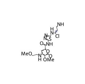 COCCNc1cc(C(=O)Nc2nnc(N/C(Cl)=C\C=N)s2)oc(=O)c1OC